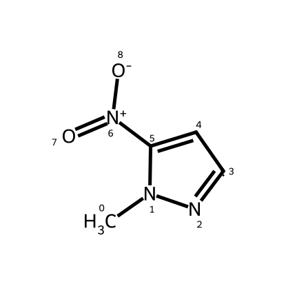 Cn1n[c]cc1[N+](=O)[O-]